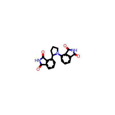 O=C1NC(=O)c2c1cccc2C1CCCN1c1cccc2c1C(=O)NC2=O